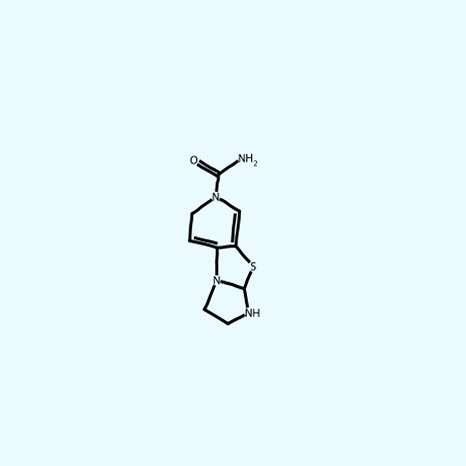 NC(=O)N1C=C2SC3NCCN3C2=CC1